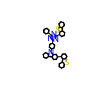 c1ccc(-c2nc(-c3ccc(-n4c5ccccc5c5ccc(-c6cccc7sc8ccccc8c67)cc54)cc3)nc(-c3cccc4c3sc3ccccc34)n2)cc1